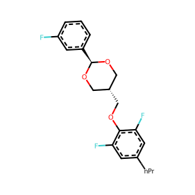 CCCc1cc(F)c(OC[C@H]2CO[C@H](c3cccc(F)c3)OC2)c(F)c1